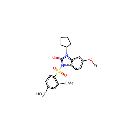 CCOc1ccc2c(c1)n(C1CCCC1)c(=O)n2S(=O)(=O)c1ccc(C(=O)O)cc1OC